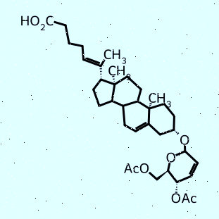 CC(=O)OC[C@H]1OC(O[C@H]2CC[C@@]3(C)C(=CCC4C3CC[C@@]3(C)C4CC[C@@H]3/C(C)=C/CCCC(=O)O)C2)C=C[C@@H]1OC(C)=O